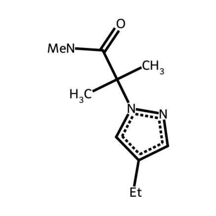 CCc1cnn(C(C)(C)C(=O)NC)c1